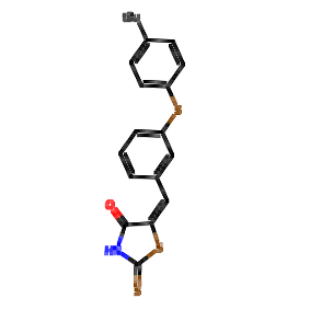 CC(C)(C)c1ccc(Sc2cccc(C=C3SC(=S)NC3=O)c2)cc1